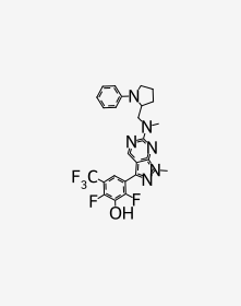 CN(CC1CCCN1c1ccccc1)c1ncc2c(-c3cc(C(F)(F)F)c(F)c(O)c3F)nn(C)c2n1